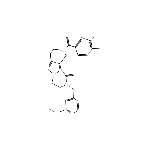 COc1cc(CN2CCn3nc4c(c3C2=O)CN(C(=O)c2ccc(Cl)c(Cl)c2)CC4)ccn1